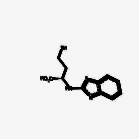 O=C(O)[C@H](CCS)Nc1nc2ccccc2s1